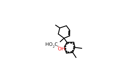 Cc1ccc(C2(C)C=CCC(C)C2)cc1C.O=C(O)O